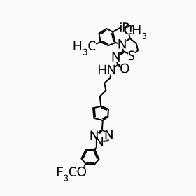 Cc1ccc(C(C)C)c(N2/C(=N/C(=O)NCCCCc3ccc(-c4ncn(-c5ccc(OC(F)(F)F)cc5)n4)cc3)SCCC2C)c1